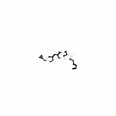 O=C(Cc1cccs1)N[C@@H]1C(=O)N2C(C(=O)O)=C(/C=C3\CCN(CC4CC4)C3=O)CS[C@H]12